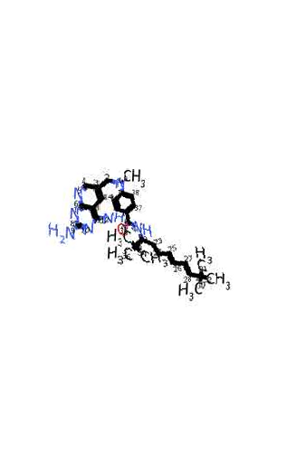 CN(Cc1cnc2nc(N)nc(N)c2c1)c1ccc(C(=O)NC(CCC=CC=CC(C)(C)C)C(C)(C)C)cc1